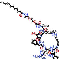 CCCCCCCCCCCCCCCCCC(=O)NCCOCCOCC(=O)N[C@@H](CCCC)C(=O)N[C@H]1CCC(OC)NCCCCC(C(N)=O)NC(=O)[C@H](Cc2c[nH]c3ccccc23)NC(=O)[C@H](CCCNC(=N)N)NC(=O)[C@@H](Cc2ccccc2)NC(=O)C2C[C@@H](O)CN2C1=O